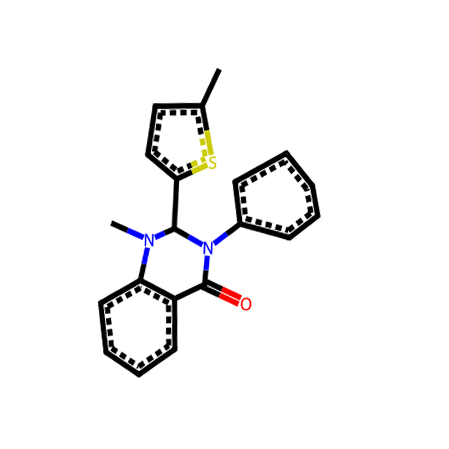 Cc1ccc(C2N(C)c3ccccc3C(=O)N2c2ccccc2)s1